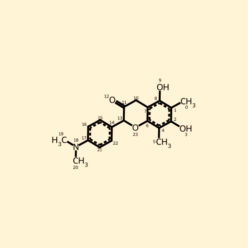 Cc1c(O)c(C)c2c(c1O)CC(=O)C(c1ccc(N(C)C)cc1)O2